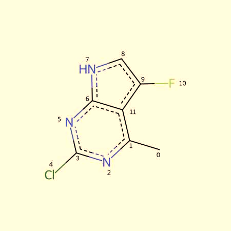 Cc1nc(Cl)nc2[nH]cc(F)c12